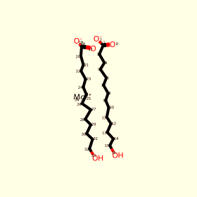 O=C([O-])CCCCCCCCCCCCCO.O=C([O-])CCCCCCCCCCCCCO.[Mg+2]